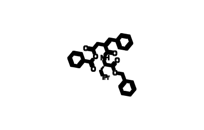 CC(C)C[C@H](NC(=O)/C(=C\c1ccccc1)CC(=O)OC(=O)c1ccccc1)C(=O)OCc1ccccc1